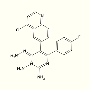 N/N=c1/c(-c2ccc3nccc(Cl)c3c2)c(-c2ccc(F)cc2)nc(N)n1N